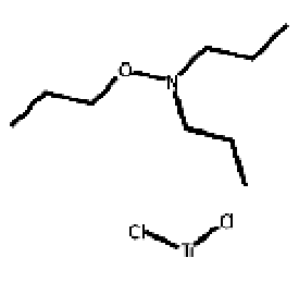 CCCON(CCC)CCC.[Cl][Ti][Cl]